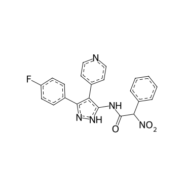 O=C(Nc1[nH]nc(-c2ccc(F)cc2)c1-c1ccncc1)C(c1ccccc1)[N+](=O)[O-]